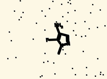 Cn1ncc(N)c1F